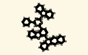 c1ccc(-c2nc(-c3ccc(-n4c5ccccc5c5cc6ccccc6cc54)c4oc5ccccc5c34)nc(-n3c4ccccc4c4ccccc43)n2)cc1